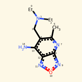 CCN(CC)Cc1c(C)nc2nonc2c1N